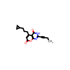 CCC#Cc1nc2oc(=O)cc(CCCC3CC3)c2c(=O)[nH]1